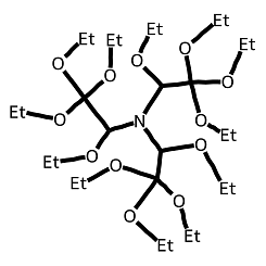 CCOC(N(C(OCC)C(OCC)(OCC)OCC)C(OCC)C(OCC)(OCC)OCC)C(OCC)(OCC)OCC